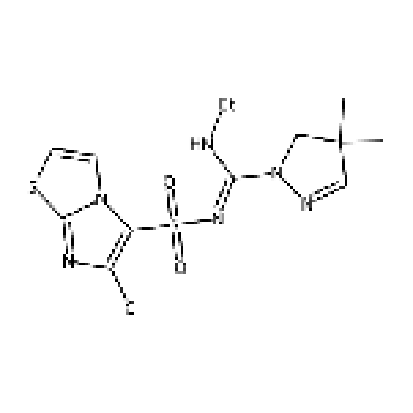 CCN/C(=N\S(=O)(=O)c1c(Cl)nc2sccn12)N1CC(C)(C)C=N1